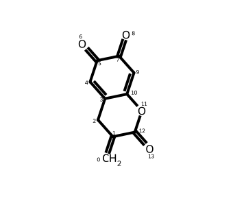 C=C1CC2=CC(=O)C(=O)C=C2OC1=O